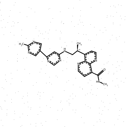 CNC(=O)c1ccnc2c([C@H](C)CNc3cc(-c4cnc(C)nc4)ncn3)ccnc12